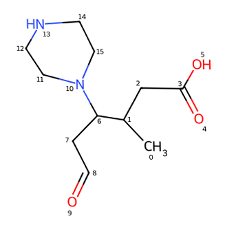 CC(CC(=O)O)C(CC=O)N1CCNCC1